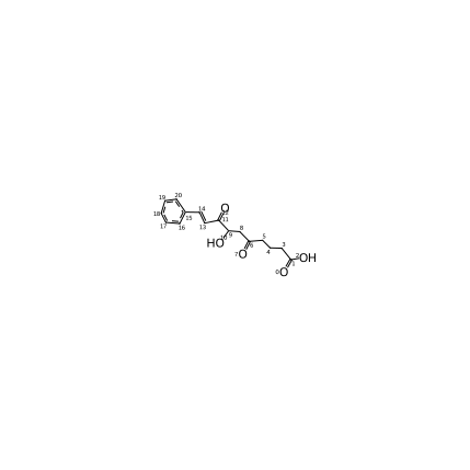 O=C(O)CCCC(=O)CC(O)C(=O)/C=C/c1ccccc1